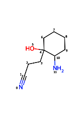 N#CCCC1(O)CCCCC1N